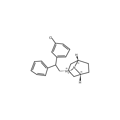 CN1[C@@H]2CC[C@H]1C[C@@H](CC(c1ccccc1)c1cccc(Cl)c1)C2